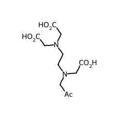 CC(=O)CN(CCN(CC(=O)O)CC(=O)O)CC(=O)O